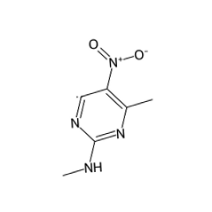 CNc1n[c]c([N+](=O)[O-])c(C)n1